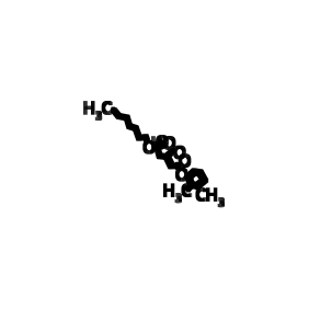 CCCCCCCCOC(=O)CC(=CC(=O)Oc1cccc(C)c1C)C(=O)O